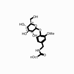 CCCCCCCCC(=O)NCc1ccc(OC2O[C@H](CO)[C@@H](O)[C@H](O)[C@H]2O)c(OC)c1